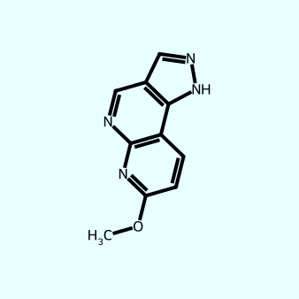 COc1ccc2c(ncc3cn[nH]c32)n1